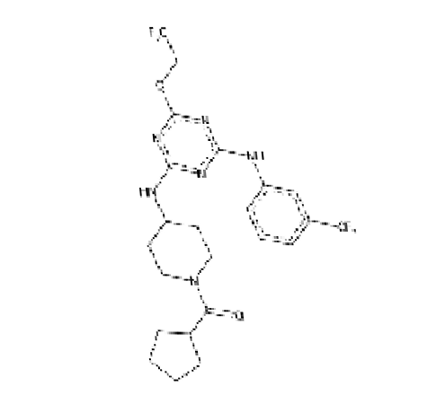 O=C(C1CCCC1)N1CCC(Nc2nc(Nc3cccc(C(F)(F)F)c3)nc(OCC(F)(F)F)n2)CC1